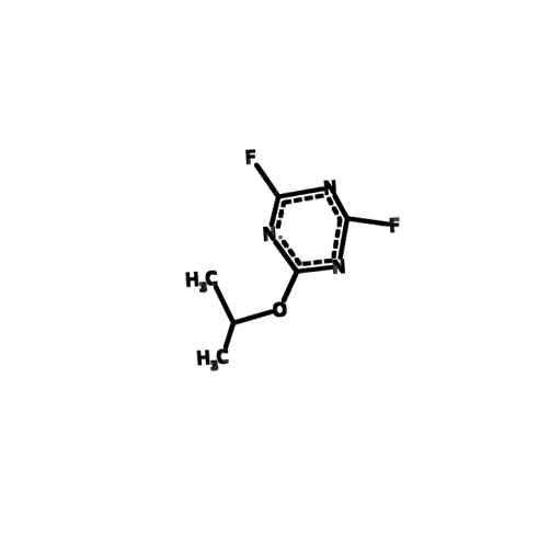 CC(C)Oc1nc(F)nc(F)n1